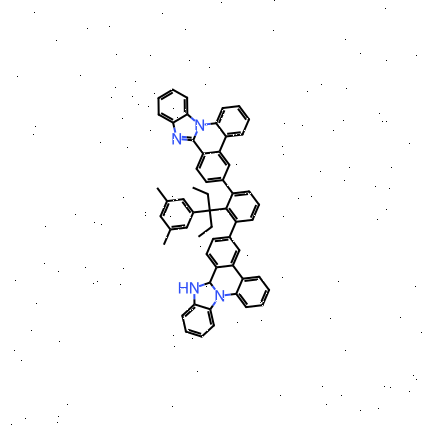 CCC(CC)(c1cc(C)cc(C)c1)c1c(-c2ccc3c(c2)-c2ccccc2N2c4ccccc4NC32)cccc1-c1ccc2c(c1)c1ccccc1n1c3ccccc3nc21